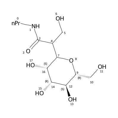 CCCNC(=O)C(CO)C1O[C@H](CO)[C@@H](O)[C@H](O)[C@@H]1O